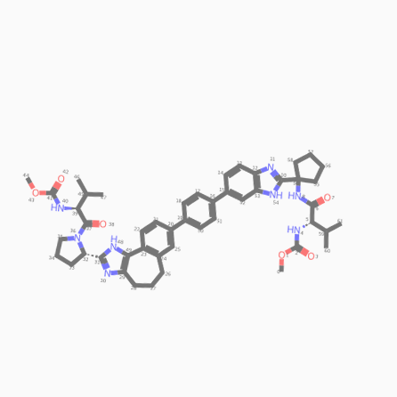 COC(=O)N[C@H](C(=O)NC1(c2nc3ccc(-c4ccc(-c5ccc6c(c5)CCCc5nc([C@@H]7CCCN7C(=O)[C@@H](NC(=O)OC)C(C)C)[nH]c5-6)cc4)cc3[nH]2)CCCC1)C(C)C